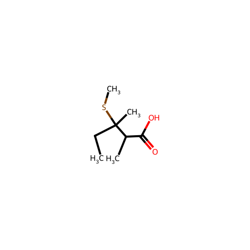 CCC(C)(SC)C(C)C(=O)O